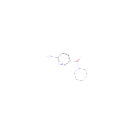 Nc1ccc(C(=O)N2CCCCC2)cn1